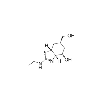 CCNC1=N[C@H]2[C@H](O)C[C@H](CO)C[C@H]2S1